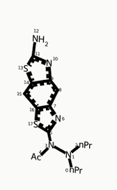 CCCN(CCC)N(C(C)=O)c1nc2cc3nc(N)sc3cc2s1